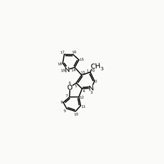 Cc1cnc2c(oc3ccccc32)c1-c1ccccn1